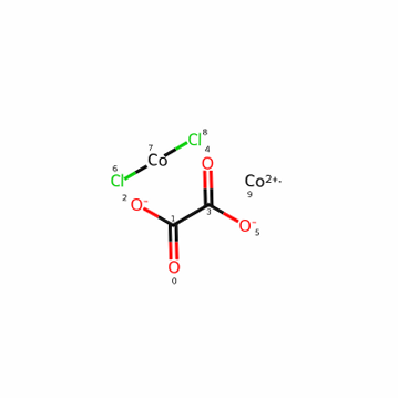 O=C([O-])C(=O)[O-].[Cl][Co][Cl].[Co+2]